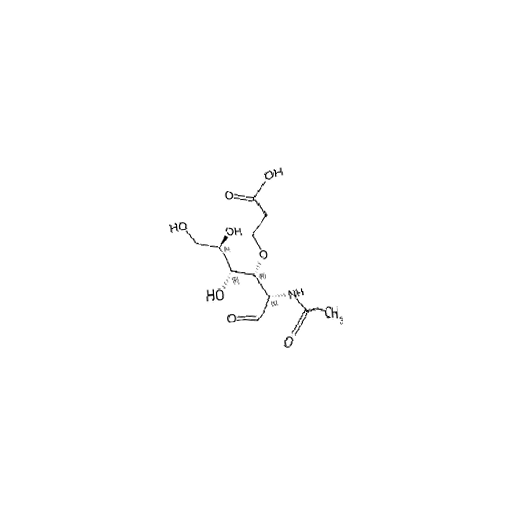 CC(=O)N[C@H](C=O)[C@@H](OCCC(=O)O)[C@H](O)[C@H](O)CO